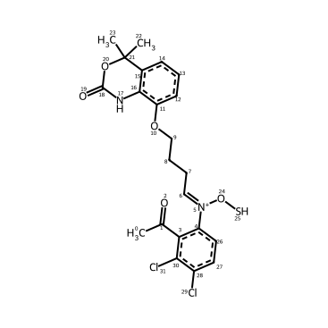 CC(=O)c1c([N+](=CCCCOc2cccc3c2NC(=O)OC3(C)C)OS)ccc(Cl)c1Cl